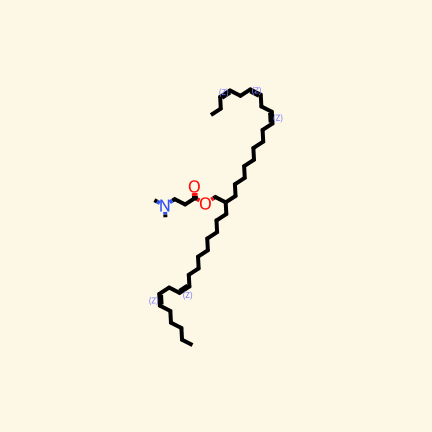 CC/C=C\C/C=C\C/C=C\CCCCCCCCC(CCCCCCCC/C=C\C/C=C\CCCCC)COC(=O)CCN(C)C